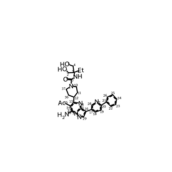 CCC(CO)(CO)NC(=O)N1CCC(c2nc3c(-c4ccc(-c5ccccc5)nc4)cnn3c(N)c2C(C)=O)CC1